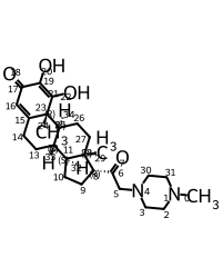 CN1CCN(CC(=O)[C@@H]2CC[C@H]3[C@@H]4CCC5=CC(=O)C(O)=C(O)[C@]5(C)[C@H]4CC[C@]23C)CC1